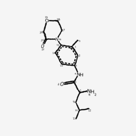 Cc1cc(NC(=O)C(N)CC(C)C)ccc1N1CCOCC1=O